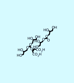 O=C(O)/C=C\C(=O)O.O=C(OCC(O)CO)OCC(O)CO.O=C(OCC(O)CO)OCC(O)CO